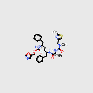 CC(C)c1nc(CN(C)C(=O)N[C@H](C(=O)N[C@H](CC[C@H](Cc2ccccc2)NC(=O)OCc2cnco2)Cc2ccccc2)C(C)C)cs1